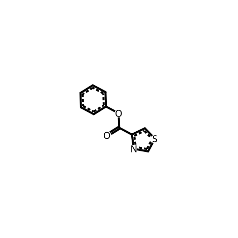 O=C(Oc1ccccc1)c1cscn1